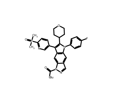 CC(C)(C)C(=O)n1ncc2cc3c(cc21)c(-c1ccc(P(C)(C)=O)nc1)c(C1CCOCC1)n3-c1ccc(F)cc1